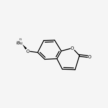 CC[C@H](C)Oc1ccc2oc(=O)ccc2c1